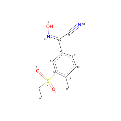 CCS(=O)(=O)c1cc(/C(C#N)=N/O)ccc1C